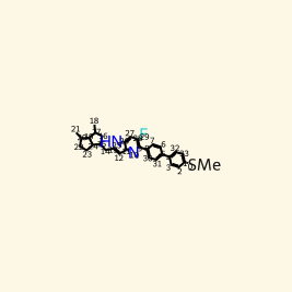 CSc1ccc(-c2ccc(-c3nc4cc(CC5CC(C)C6C(C)CCC56)[nH]c4cc3F)cc2)cc1